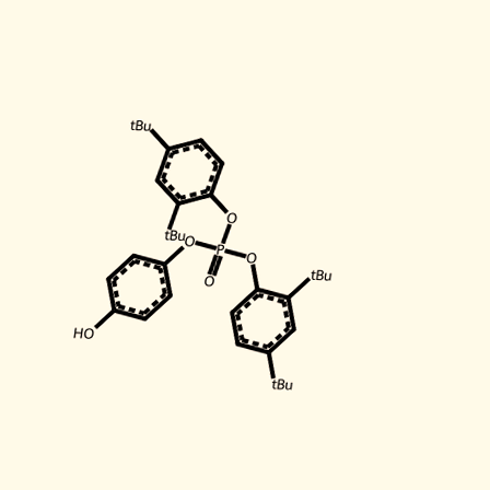 CC(C)(C)c1ccc(OP(=O)(Oc2ccc(O)cc2)Oc2ccc(C(C)(C)C)cc2C(C)(C)C)c(C(C)(C)C)c1